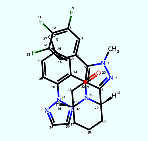 Cn1nc2c(c1-c1cc(F)c(F)c(F)c1)C[C@H]1CCC[C@@H]2N1C(=O)c1cc(C(F)(F)F)ccc1-n1nccn1